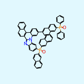 O=P(c1ccccc1)(c1ccccc1)c1ccc2cc(-c3ccc4c5c6ccccc6ccc5c5nc6ccc(P(=O)(c7ccc8ccccc8c7)c7ccc8ccccc8c7)cc6n5c4c3)ccc2c1